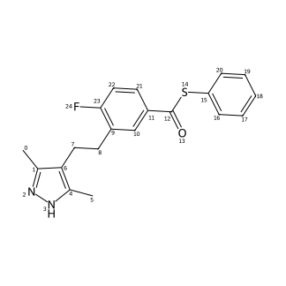 Cc1n[nH]c(C)c1CCc1cc(C(=O)Sc2ccccc2)ccc1F